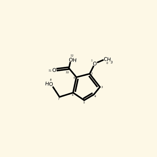 COc1cccc(CO)c1C(=O)O